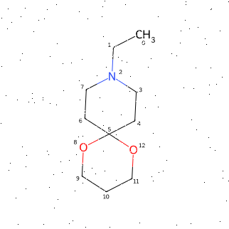 CCN1CCC2(CC1)OCCCO2